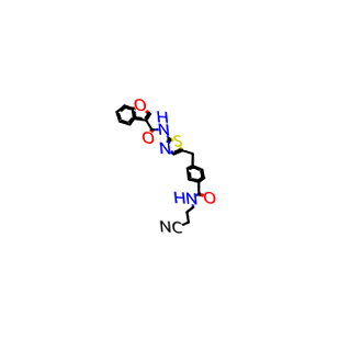 N#CCCCNC(=O)c1ccc(Cc2cnc(NC(=O)c3coc4ccccc34)s2)cc1